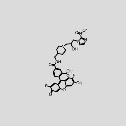 O=C(NCC1CCN(CC(O)Cn2ccnc2[N+](=O)[O-])CC1)c1ccc(-c2c3cc(F)c(=O)cc-3oc3cc(O)c(F)cc23)c(C(=O)O)c1